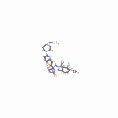 CCN1CCCN(c2ccc3oc([C@]4(CN5CC6C=CC(OC)=C(F)C6C5=O)NC(=O)NC4=O)cc3n2)CC1